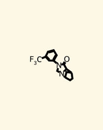 O=C1C2C3CCC(C3)N2CN1c1cccc(C(F)(F)F)c1